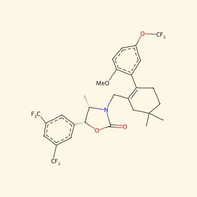 COc1ccc(OC(F)(F)F)cc1C1=C(CN2C(=O)O[C@H](c3cc(C(F)(F)F)cc(C(F)(F)F)c3)[C@@H]2C)CC(C)(C)CC1